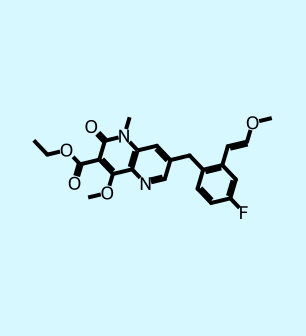 CCOC(=O)c1c(OC)c2ncc(Cc3ccc(F)cc3C=COC)cc2n(C)c1=O